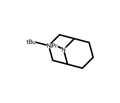 CC(C)N1C2CCCC1CN(C(C)(C)C)C2